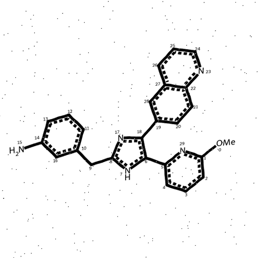 COc1cccc(-c2[nH]c(Cc3cccc(N)c3)nc2-c2ccc3ncccc3c2)n1